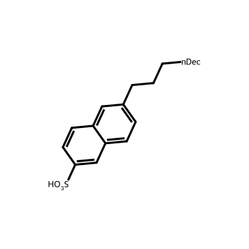 CCCCCCCCCCCCCc1ccc2cc(S(=O)(=O)O)ccc2c1